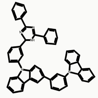 c1ccc(C2=NC(c3cccc(-n4c5ccccc5c5cc(-c6cccc(-n7c8ccccc8c8ccccc87)c6)ccc54)c3)NC(c3ccccc3)=N2)cc1